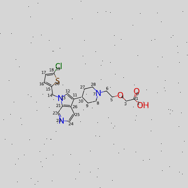 O=C(O)COCCN1CCC(c2cn(Cc3ccc(Cl)s3)c3cnccc23)CC1